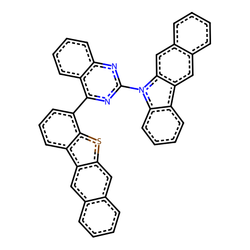 c1ccc2cc3c(cc2c1)sc1c(-c2nc(-n4c5ccccc5c5cc6ccccc6cc54)nc4ccccc24)cccc13